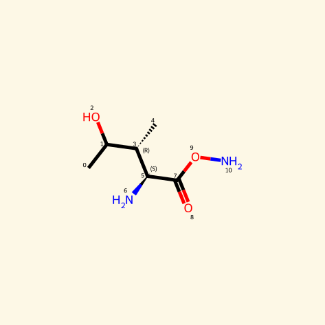 CC(O)[C@H](C)[C@H](N)C(=O)ON